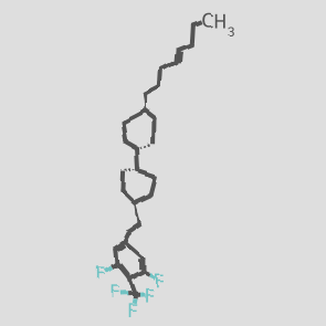 CCC/C=C/CCC[C@H]1CC[C@H]([C@H]2CC[C@H](CCc3cc(F)c(C(F)(F)F)c(F)c3)CC2)CC1